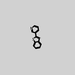 [c]1c(-c2cccnc2)sc2ccccc12